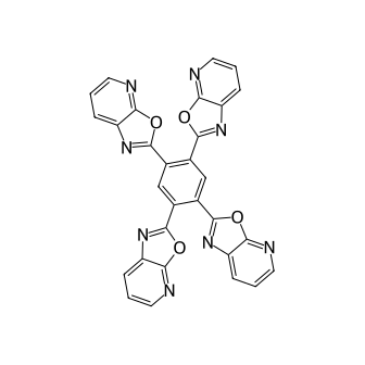 c1cnc2oc(-c3cc(-c4nc5cccnc5o4)c(-c4nc5cccnc5o4)cc3-c3nc4cccnc4o3)nc2c1